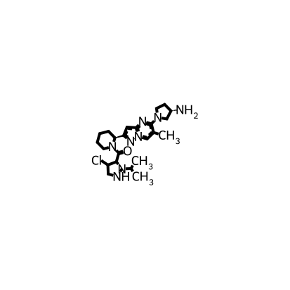 Cc1cn2nc([C@@H]3CCCCN3C(=O)C3C(Cl)CNN3C(C)C)cc2nc1N1CC[C@H](N)C1